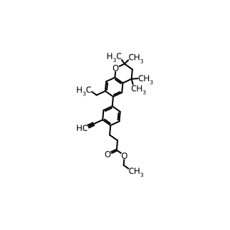 C#Cc1cc(-c2cc3c(cc2CC)OC(C)(C)CC3(C)C)ccc1CCC(=O)OCC